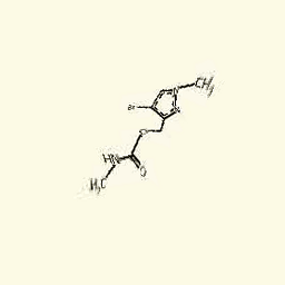 CNC(=O)OCc1nn(C)cc1Br